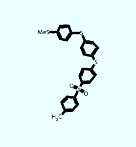 CSc1ccc(Sc2ccc(Sc3ccc(S(=O)(=O)c4ccc(C)cc4)cc3)cc2)cc1